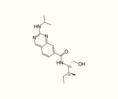 CC[C@H](C)[C@@H](CO)NC(=O)c1ccc2cnc(NC(C)C)nc2c1